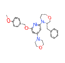 COc1ccc(COc2cc(N3CCOCC3)cc(N3CCCOCC3Cc3ccccc3)n2)cc1